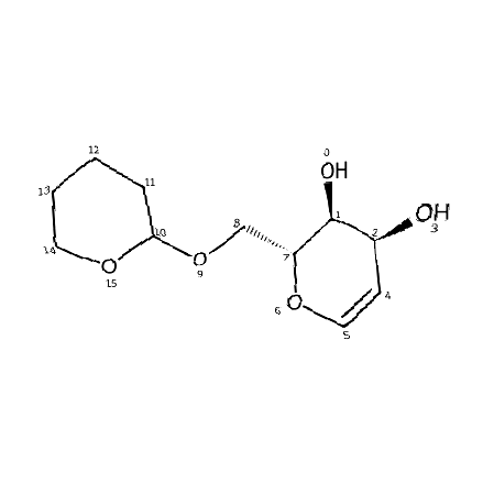 O[C@H]1[C@@H](O)C=CO[C@@H]1COC1CCCCO1